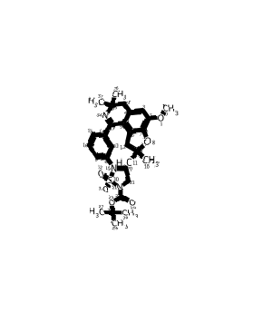 COc1cc2c(c3c1OC(C)(C)C3)C(c1cccc(N3CCN(C(=O)OC(C)(C)C)S3(=O)=O)c1)=NC(C)(C)C2